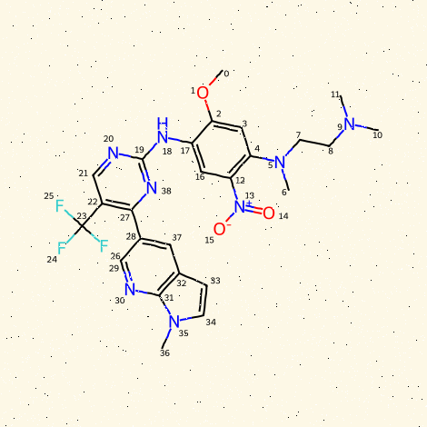 COc1cc(N(C)CCN(C)C)c([N+](=O)[O-])cc1Nc1ncc(C(F)(F)F)c(-c2cnc3c(ccn3C)c2)n1